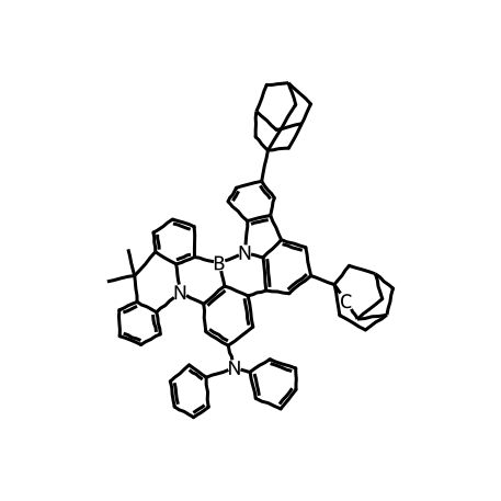 CC1(C)c2ccccc2N2c3cc(N(c4ccccc4)c4ccccc4)cc4c3B(c3cccc1c32)n1c2ccc(C35CC6CC(CC(C6)C3)C5)cc2c2cc(C35CCC6CC(CC6C3)C5)cc-4c21